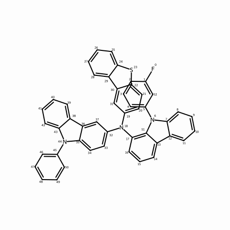 Fc1cccc(-n2c3ccccc3c3cccc(N(c4ccc5sc6ccccc6c5c4)c4ccc5c(c4)c4ccccc4n5-c4ccccc4)c32)c1